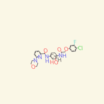 O=C(COc1ccc(Cl)c(F)c1)NC12CCC(NC(=O)c3cccc(N4CCOCC4)n3)(CC1)C[C@@H]2O